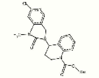 CN1C(=O)N(C2CCN(C(=O)OC(C)(C)C)c3ccccc32)Cc2cnc(Cl)cc21